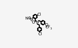 CN(C#N)c1ccc(Cl)cc1C(=O)N(CCc1ccc(Cl)cc1)Cc1ccc(OC(F)(F)F)cc1